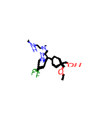 CCOCC1(CO)CCC(c2c(CN(C)CCNC)nn3c2CC(F)(F)C3)CC1